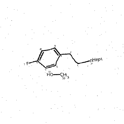 CCCCCCCCCc1ccc(F)cc1.CO